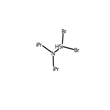 CC(C)N(C(C)C)[SiH](Br)Br